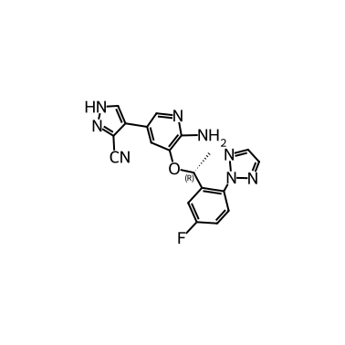 C[C@@H](Oc1cc(-c2c[nH]nc2C#N)cnc1N)c1cc(F)ccc1-n1nccn1